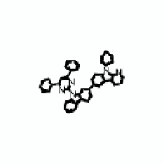 c1ccc(-c2cc(-c3ccccc3)nc(-n3c4ccccc4c4ccc(-c5ccc6c(c5)c5cccnc5n6-c5ccccc5)cc43)n2)cc1